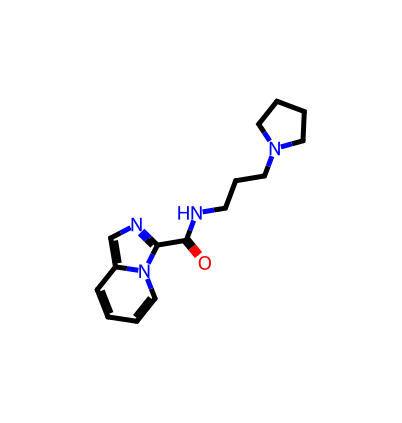 O=C(NCCCN1CCCC1)c1ncc2ccccn12